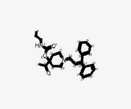 CCCNC(=O)OC1(C(C)=O)CCN(CC=C(c2ccccc2)c2ccccc2)CC1